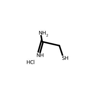 Cl.N=C(N)CS